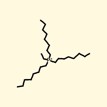 CCCCCCCC[P+](CC)(CCCCCCCC)CCCCCCCC